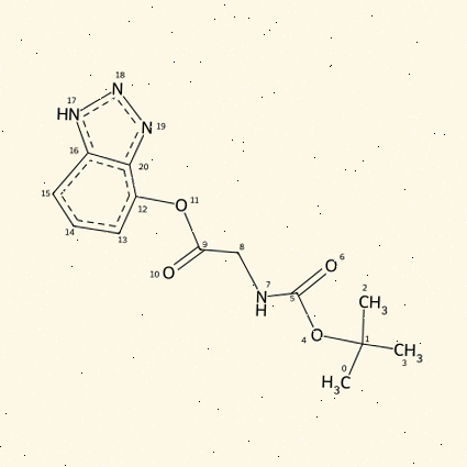 CC(C)(C)OC(=O)NCC(=O)Oc1cccc2[nH]nnc12